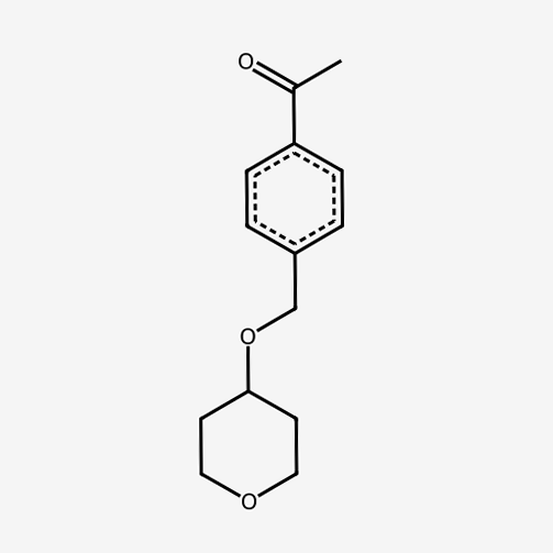 CC(=O)c1ccc(COC2CCOCC2)cc1